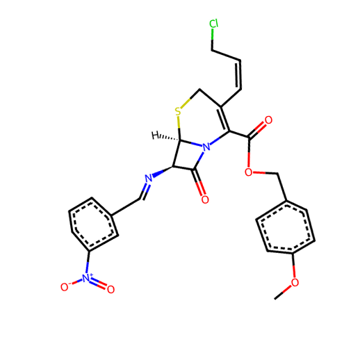 COc1ccc(COC(=O)C2=C(/C=C\CCl)CS[C@@H]3[C@H](/N=C/c4cccc([N+](=O)[O-])c4)C(=O)N23)cc1